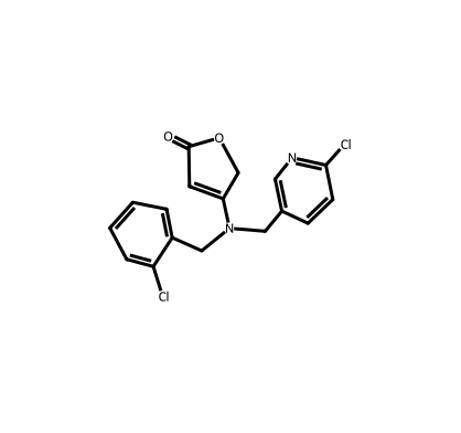 O=C1C=C(N(Cc2ccc(Cl)nc2)Cc2ccccc2Cl)CO1